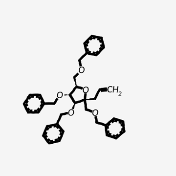 C=CC[C@]1(COCc2ccccc2)O[C@H](COCc2ccccc2)[C@@H](OCc2ccccc2)[C@@H]1OCc1ccccc1